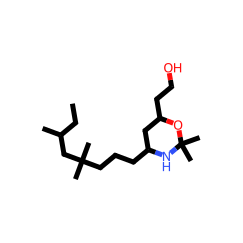 CCC(C)CC(C)(C)CCCC1CC(CCO)OC(C)(C)N1